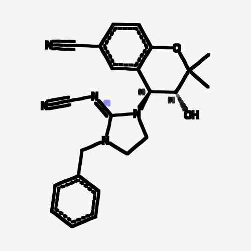 CC1(C)Oc2ccc(C#N)cc2[C@H](N2CCN(Cc3ccccc3)/C2=N\C#N)[C@H]1O